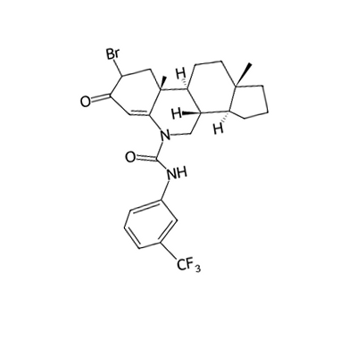 C[C@@]12CCC[C@H]1[C@@H]1CN(C(=O)Nc3cccc(C(F)(F)F)c3)C3=CC(=O)C(Br)C[C@]3(C)[C@H]1CC2